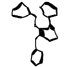 c1ccc(COc2c(Cc3ccccc3)cccc2-c2cccnc2)cc1